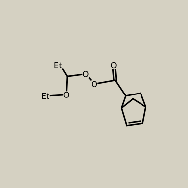 CCOC(CC)OOC(=O)C1CC2C=CC1C2